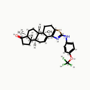 C[C@]12CCc3sc(Nc4ccc(OC(F)(F)F)cc4)nc3C1=CC[C@@H]1[C@@H]2CC[C@]2(C)C(=O)CC[C@@H]12